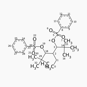 CCC(C(OS(=O)(=O)c1ccccc1)C(C)(C)C)C(OS(=O)(=O)c1ccccc1)C(C)(C)C